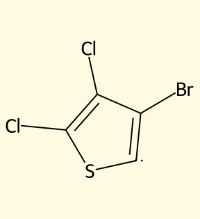 Clc1s[c]c(Br)c1Cl